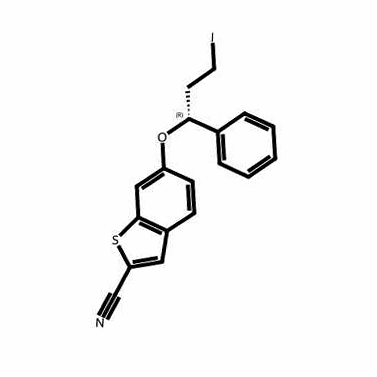 N#Cc1cc2ccc(O[C@H](CCI)c3ccccc3)cc2s1